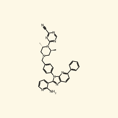 C[C@H]1CN(Cc2ccc(-n3c(-c4cccnc4N)nc4ccc(-c5ccccc5)nc43)cc2)C[C@H](C)N1c1ncnc(C#N)n1